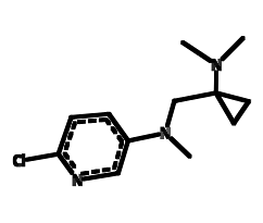 CN(CC1(N(C)C)CC1)c1ccc(Cl)nc1